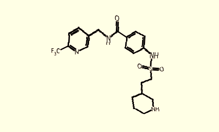 O=C(NCc1ccc(C(F)(F)F)nc1)c1ccc(NS(=O)(=O)CCC2CCCNC2)cc1